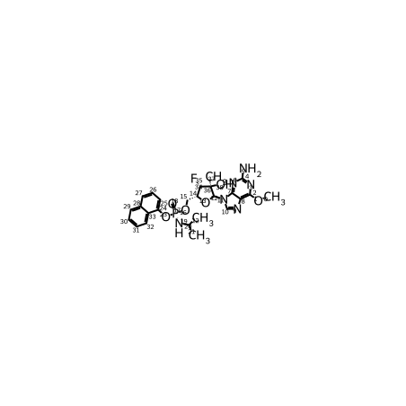 COc1nc(N)nc2c1ncn2C1O[C@H](COP(=O)(NC(C)C)Oc2cccc3ccccc23)[C@H](F)[C@@]1(C)O